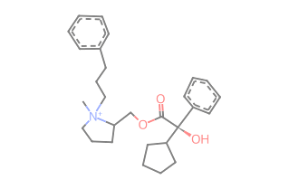 C[N+]1(CCCc2ccccc2)CCCC1COC(=O)[C@](O)(c1ccccc1)C1CCCC1